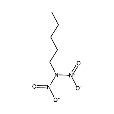 CCCCCN([N+](=O)[O-])[N+](=O)[O-]